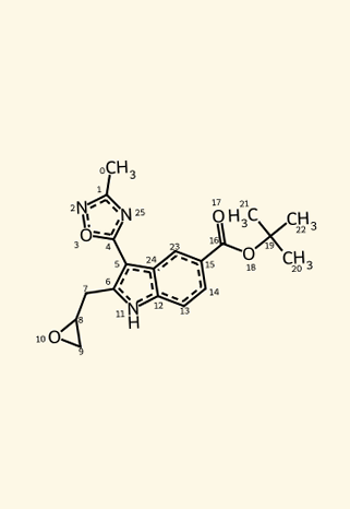 Cc1noc(-c2c(CC3CO3)[nH]c3ccc(C(=O)OC(C)(C)C)cc23)n1